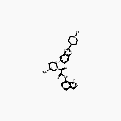 CCN1CCC(c2nc3cc([C@H]4CC[C@H](C)CN4C(=O)C(=O)Nc4cncc5cn[nH]c45)ccc3s2)CC1